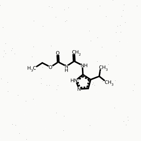 C=C(NC(=O)OCC)Nc1[nH]ncc1C(C)C